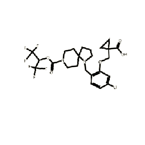 O=C(OC(C(F)(F)F)C(F)(F)F)N1CCC2(CCCN2Cc2ccc(Cl)cc2OCC2(C(=O)O)CC2)CC1